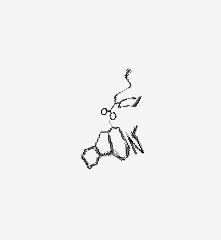 CC#N.CCCCC(Cl)C(=O)OCc1cccc2c1Cc1ccccc1-2